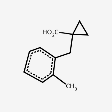 Cc1ccccc1CC1(C(=O)O)CC1